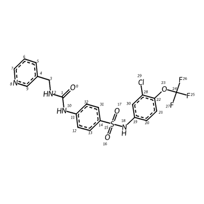 O=C(NCc1cccnc1)Nc1ccc(S(=O)(=O)Nc2ccc(OC(F)(F)F)c(Cl)c2)cc1